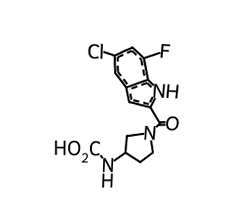 O=C(O)NC1CCN(C(=O)c2cc3cc(Cl)cc(F)c3[nH]2)C1